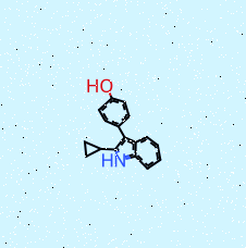 Oc1ccc(-c2c(C3CC3)[nH]c3ccccc23)cc1